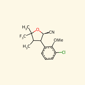 COc1c(Cl)cccc1C1C(C)C(C)(C(F)(F)F)O[C@H]1C#N